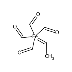 C[CH]=[Fe]([CH]=O)([CH]=O)([CH]=O)[CH]=O